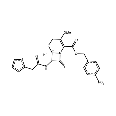 COC1=C(C(=O)OCc2ccc([N+](=O)[O-])cc2)N2C(=O)C(NC(=O)Cc3cccs3)[C@H]2SC1